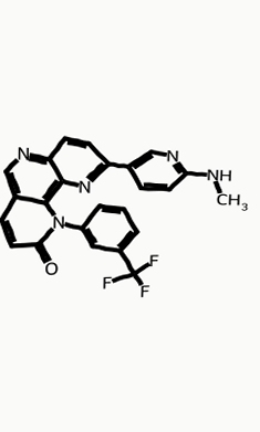 CNc1ccc(-c2ccc3ncc4ccc(=O)n(-c5cccc(C(F)(F)F)c5)c4c3n2)cn1